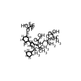 C[C@H](NC(=O)[C@@H](N)CCN(C(=O)CO)[C@@H](c1cc(-c2cc(F)ccc2F)cn1Cc1ccccc1)C(C)(C)C)C(=O)O.O=C(O)C(F)(F)F